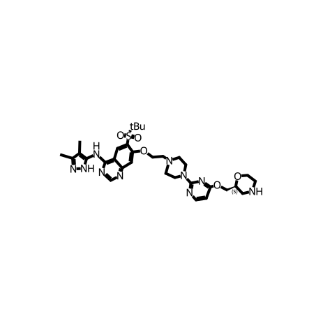 Cc1n[nH]c(Nc2ncnc3cc(OCCN4CCN(c5nccc(OC[C@@H]6CNCCO6)n5)CC4)c(S(=O)(=O)C(C)(C)C)cc23)c1C